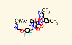 COCCN(C)CCOc1ccc(CN2C(=O)C(C(=O)Nc3ccc(C(F)(F)F)cc3-c3cc(C(F)(F)F)ncn3)=C(O)C3(CCC3)N2C)c(F)c1F